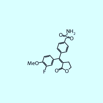 COc1ccc(/C(=C2/CCOC2=O)c2ccc(S(N)(=O)=O)cc2)cc1F